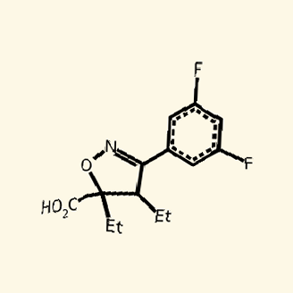 CCC1C(c2cc(F)cc(F)c2)=NOC1(CC)C(=O)O